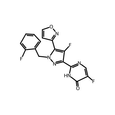 O=c1[nH]c(-c2nn(Cc3ccccc3F)c(-c3ccon3)c2F)ncc1F